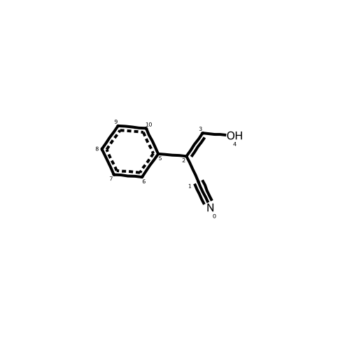 N#CC(=CO)c1ccccc1